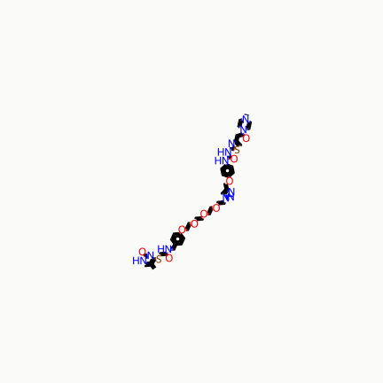 Cc1c[nH]c(=O)nc1SCC(=O)NCc1ccc(OCCOCCOCCOCCn2cc(COc3ccc(NC(=O)Nc4nc(CC(=O)N5CCN(C)CC5)cs4)cc3)nn2)cc1